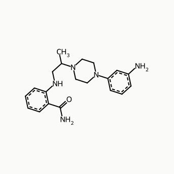 CC(CNc1ccccc1C(N)=O)N1CCN(c2cccc(N)c2)CC1